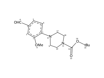 COc1cc(C=O)ccc1N1CCN(C(=O)OC(C)(C)C)CC1